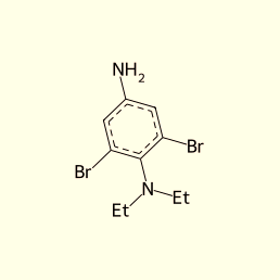 CCN(CC)c1c(Br)cc(N)cc1Br